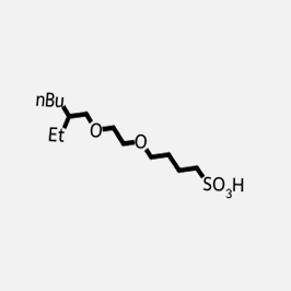 CCCCC(CC)COCCOCCCCS(=O)(=O)O